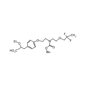 CCOC(Cc1ccc(OCCN(CCOCC(C)(F)F)C(=O)OC(C)CC)cc1)C(=O)O